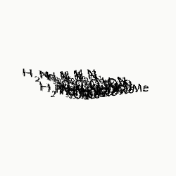 COc1ccc(NC(=O)[C@H](CCCCN)c2cc(NC(=O)[C@H](CCCCN)c3cc(NC(=O)[C@H](CCCCN)c4cc(NC(=O)[C@@H](N)CCCCCN)ccc4OC)ccc3OC)ccc2OC)cc1C(N)=O